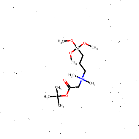 CO[Si](CCC[N+](C)(C)CC(=O)OC(C)(C)C)(OC)OC